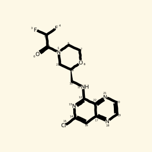 O=C(C(F)F)N1CCO[C@@H](CNc2nc(Cl)cc3nccnc23)C1